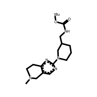 CN1CCc2nc(N3CCCC(CNC(=O)OC(C)(C)C)C3)ncc2C1